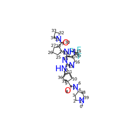 CN1CCC(N(C)C(=O)c2ccc(Nc3ncc(C(F)(F)F)c(N[C@@H]4CCC[C@@H]4C(=O)N4CCC4)n3)cc2)CC1